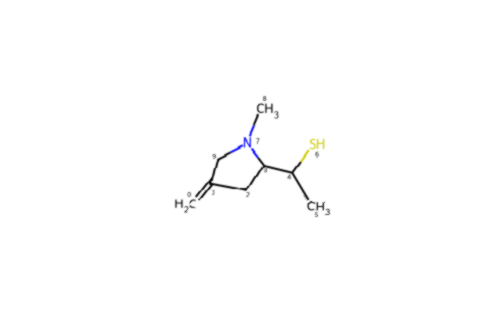 C=C1CC(C(C)S)N(C)C1